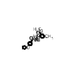 COC(=O)c1cc(C)ccc1NC(=O)NNC(=O)c1ccc(OC2CCCC2)cc1